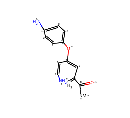 C=C(/C=C(\C=C/N)Oc1ccc(N)cc1)C(=O)NC